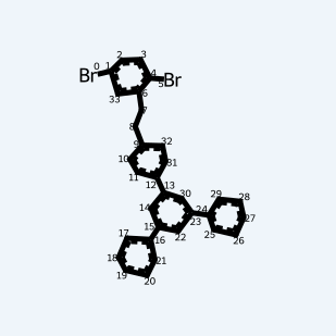 Brc1ccc(Br)c(CCc2ccc(-c3cc(-c4ccccc4)cc(-c4ccccc4)c3)cc2)c1